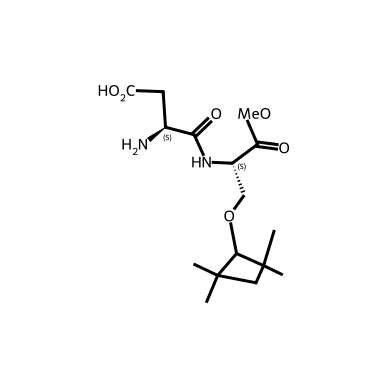 COC(=O)[C@H](COC1C(C)(C)CC1(C)C)NC(=O)[C@@H](N)CC(=O)O